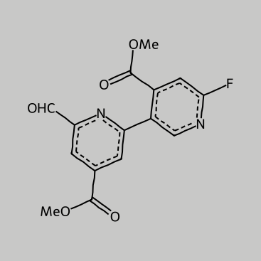 COC(=O)c1cc(C=O)nc(-c2cnc(F)cc2C(=O)OC)c1